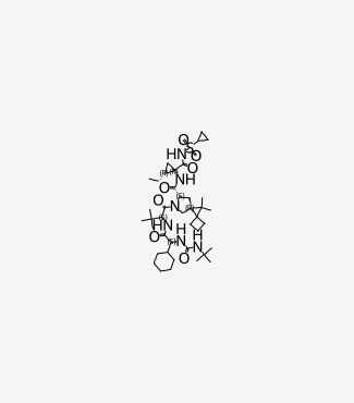 CC[C@@H]1C[C@]1(NC(=O)[C@@H]1C[C@@]2(CN1C(=O)[C@@H](NC(=O)[C@@H](NC(=O)NC(C)(C)C)C1CCCCC1)C(C)(C)C)C(C)(C)C21CCC1)C(=O)NS(=O)(=O)C1CC1